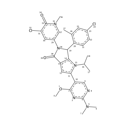 COc1nc(N(C)C)ncc1-c1cc2c(n1C(C)C)C(c1ccc(Cl)cc1C)N(c1cc(Cl)c(=O)n(C)c1)C2=O